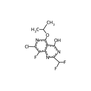 CC(C)Oc1nc(Cl)c(F)c2nc(C(F)F)nc(O)c12